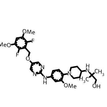 COc1cc(Nc2ncc(OCc3c(F)c(OC)cc(OC)c3F)cn2)ccc1N1CCC(NC(C)(C)CO)CC1